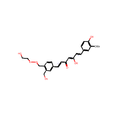 COc1cc(/C=C/C(O)=C/C(=O)/C=C/c2ccc(COOCCO)c(CO)c2)ccc1O